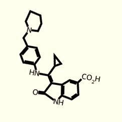 O=C1Nc2ccc(C(=O)O)cc2C1=C(Nc1ccc(CN2CCCCC2)cc1)C1CC1